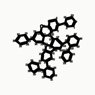 c1ccc(-c2ccc3c(c2)B2c4c(cc(-c5ccccc5)cc4-n4c5ccc(-c6ccccc6-c6ccccc6)cc5c5cc(-c6ccccc6-c6ccccc6)cc2c54)O3)cc1